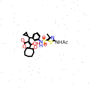 CC(=O)Nc1nc(C)c(S(=O)(=O)Nc2cccc(C(c3c(O)c4c(oc3=O)CCCCCC4=O)C3CC3)c2)s1